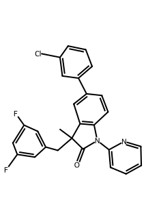 CC1(Cc2cc(F)cc(F)c2)C(=O)N(c2ccccn2)c2ccc(-c3cccc(Cl)c3)cc21